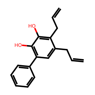 C=CCc1cc(-c2ccccc2)c(O)c(O)c1CC=C